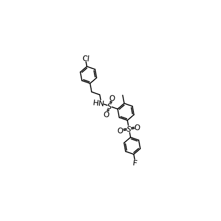 Cc1ccc(S(=O)(=O)c2ccc(F)cc2)cc1S(=O)(=O)NCCc1ccc(Cl)cc1